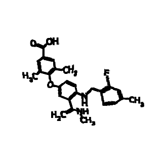 C=C(NC)c1cc(Oc2c(C)cc(C(=O)O)cc2C)ccc1NCc1ccc(C)cc1F